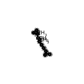 CN1CC(c2ccc3c(c2)C(C)(C)c2cc(-c4ccc(-c5ccc(-c6ccc7c(c6)c6ccccc6n7-c6ccccc6)cc5)cc4)ccc2-3)=Nc2c1c1ccccc1c1ccccc21